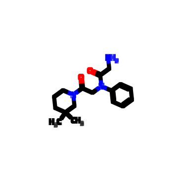 CC1(C)CCCN(C(=O)CN(C(=O)CN)c2ccccc2)C1